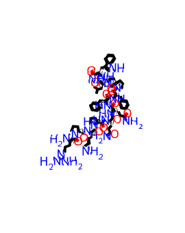 CC(C)C[C@@H](C(=O)N[C@@H](Cc1c[nH]c2ccccc12)C(N)=O)N1CC[C@@]2(CCCN2C(=O)[C@H](Cc2ccccc2)NC(=O)[C@H](Cc2ccccc2)NC(=O)[C@H](CCC(N)=O)NC(=O)[C@H](CCC(N)=O)NC(=O)[C@@H]2CCCN2C(=O)[C@H](CCCCN)NC(=O)[C@@H]2CCCN2C(=O)[C@@H](N)CCCN=C(N)N)C1=O